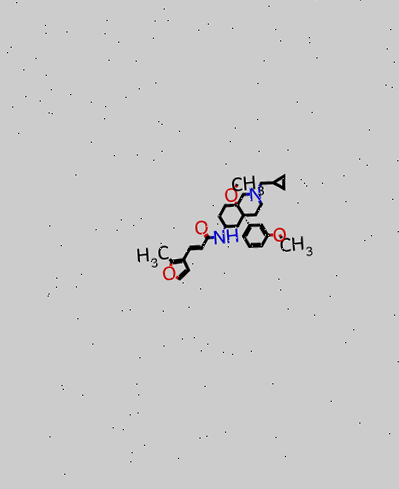 COc1cccc([C@@]23CCN(CC4CC4)C[C@@]2(OC)CC[C@@H](NC(=O)/C=C/c2ccoc2C)C3)c1